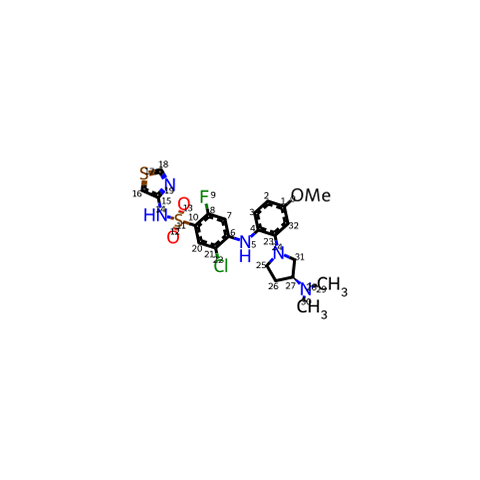 COc1ccc(Nc2cc(F)c(S(=O)(=O)Nc3cscn3)cc2Cl)c(N2CC[C@H](N(C)C)C2)c1